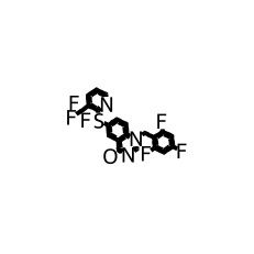 O=c1ncn(Cc2c(F)cc(F)cc2F)c2ccc(Sc3ncccc3C(F)(F)F)cc12